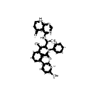 C[C@H](Nc1ncnc2[nH]ccc(=O)c12)c1c(Cl)c2cccc(-c3ccc(C(C)(C)C)nc3)c2c(=O)n1-c1ccccc1